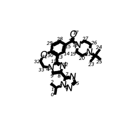 CC(C)n1ncnc1-c1cn2c(n1)-c1cc(C(=O)N3CCN(C(C)(C)C)CC3)ccc1OCC2